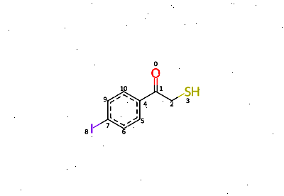 O=C(CS)c1ccc(I)cc1